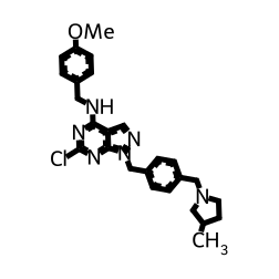 COc1ccc(CNc2nc(Cl)nc3c2cnn3Cc2ccc(CN3CCC(C)C3)cc2)cc1